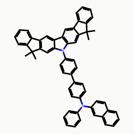 CC1(C)c2ccccc2-c2cc3c4cc5c(cc4n(-c4ccc(-c6ccc(N(c7ccccc7)c7ccc8ccccc8c7)cc6)cc4)c3cc21)C(C)(C)c1ccccc1-5